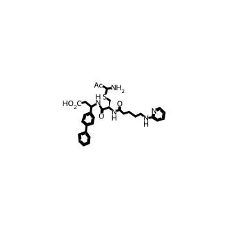 CC(=O)C(N)SC[C@@H](NC(=O)CCCCNc1ccccn1)C(=O)NC(CC(=O)O)c1ccc(-c2ccccc2)cc1